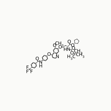 COc1cc2c(Oc3ccc(NC(=O)c4ccc(C(F)(F)F)cc4)cc3)ccnc2cc1OCC[C@H](NC(=O)OC(C)(C)C)C(=O)OC1CCCC1